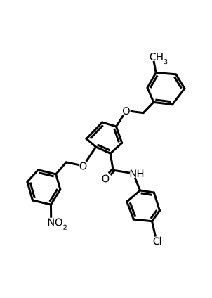 Cc1cccc(COc2ccc(OCc3cccc([N+](=O)[O-])c3)c(C(=O)Nc3ccc(Cl)cc3)c2)c1